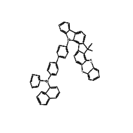 CC1(C)c2ccc3c4ccccc4n(-c4ccc(-c5ccc(N(c6ccccc6)c6cccc7ccccc67)cc5)cc4)c3c2-c2ccc3c(c21)Sc1ccccc1S3